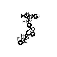 C=C(C)c1cnc(N2CC3(CCOCC3)C2)c(C(=O)Nc2ccc(C(=O)N3CCc4cc(C(=O)Nc5c(F)cccc5F)sc4-c4ccccc43)cc2)c1